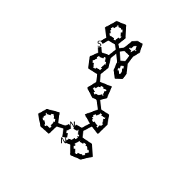 c1ccc(-c2nc(-c3cccc(-c4ccc(-c5ccc6c(c5)C5(c7ccccc7S6)c6ccccc6-c6ccccc65)cc4)c3)c3ccccc3n2)cc1